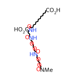 CNC(=O)COCCOCCNC(=O)COCCOCCNC(=O)CC[C@H](NC(=O)CCCCCCCCCCCCC(=O)O)C(=O)O